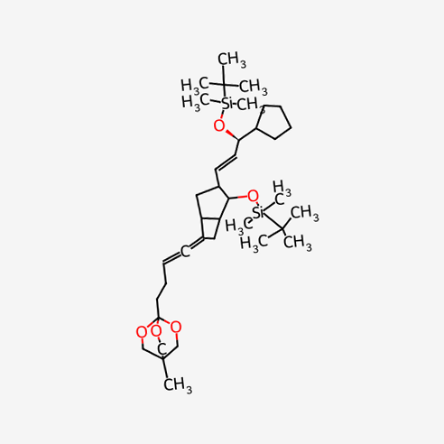 CC12COC(CCC=C=C3CC4C3CC(/C=C/[C@@H](O[Si](C)(C)C(C)(C)C)C3CCCC3)C4O[Si](C)(C)C(C)(C)C)(OC1)OC2